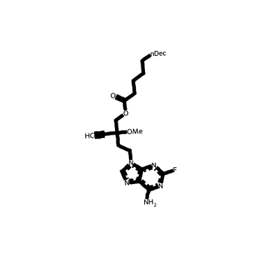 C#CC(CCn1cnc2c(N)nc(F)nc21)(COC(=O)CCCCCCCCCCCCCC)OC